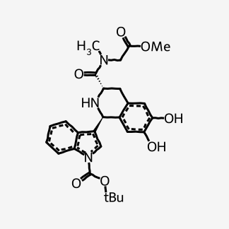 COC(=O)CN(C)C(=O)[C@@H]1Cc2cc(O)c(O)cc2[C@@H](c2cn(C(=O)OC(C)(C)C)c3ccccc23)N1